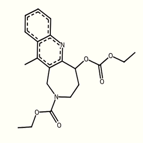 CCOC(=O)OC1CCN(C(=O)OCC)Cc2c1nc1ccccc1c2C